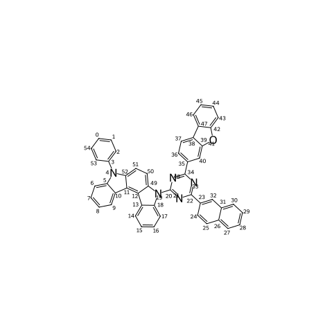 c1ccc(-n2c3ccccc3c3c4c5ccccc5n(-c5nc(-c6ccc7ccccc7c6)nc(-c6ccc7c(c6)oc6ccccc67)n5)c4ccc32)cc1